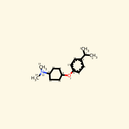 CC(C)c1ccc(OC2CCC(N(C)C)CC2)cc1